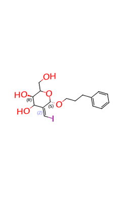 OCC1O[C@H](OCCCc2ccccc2)/C(=C\I)C(O)[C@H]1O